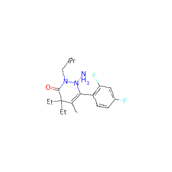 CCC1(CC)C(=O)N(CC(C)C)N(N)C(c2ccc(F)cc2F)=C1C